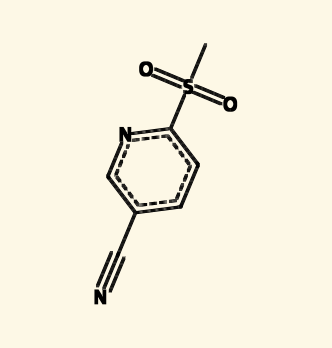 CS(=O)(=O)c1ccc(C#N)cn1